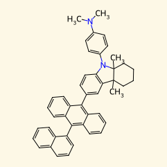 CN(C)c1ccc(N2c3ccc(-c4c5ccccc5c(-c5cccc6ccccc56)c5ccccc45)cc3C3(C)CCCCC23C)cc1